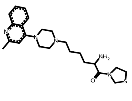 Cc1cc(N2CCN(CCCCC(N)C(=O)N3CCSC3)CC2)c2ccccc2n1